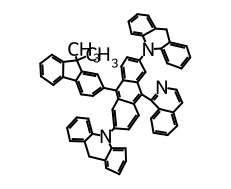 CC1(C)c2ccccc2-c2ccc(-c3c4cc(N5c6ccccc6Cc6ccccc65)ccc4c(-c4nccc5ccccc45)c4cc(N5c6ccccc6Cc6ccccc65)ccc34)cc21